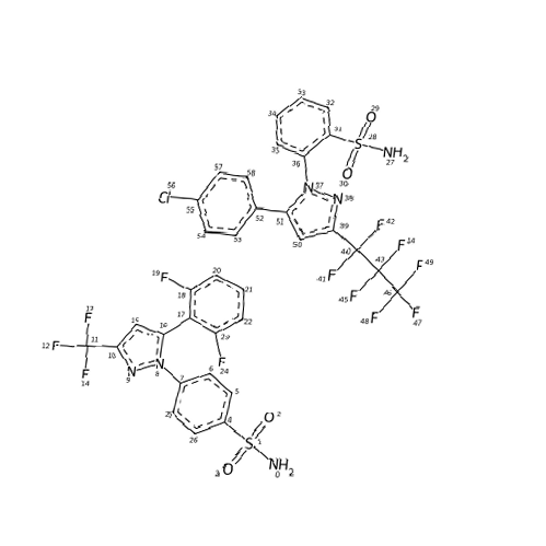 NS(=O)(=O)c1ccc(-n2nc(C(F)(F)F)cc2-c2c(F)cccc2F)cc1.NS(=O)(=O)c1ccccc1-n1nc(C(F)(F)C(F)(F)C(F)(F)F)cc1-c1ccc(Cl)cc1